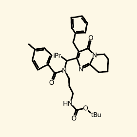 Cc1ccc(C(=O)N(CCCNC(=O)OC(C)(C)C)C(c2nc3n(c(=O)c2Cc2ccccc2)CCCC3)C(C)C)cc1